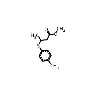 COC(=O)C[C@H](C)Sc1ccc(C)cc1